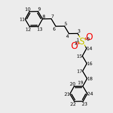 O=S(=O)(CCCCCc1ccccc1)CCCCCc1ccccc1